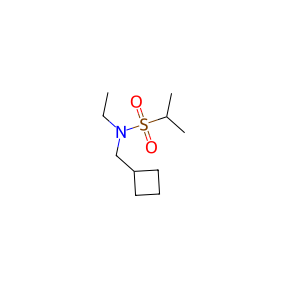 CCN(CC1CCC1)S(=O)(=O)C(C)C